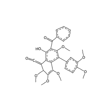 COC1=C(OC)C(OC)C(=C=O)c2c(O)c(C(=O)c3ccccc3)c(OC)c(-c3ccc(OC)c(OC)c3)c21